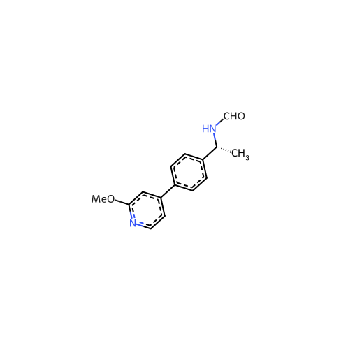 COc1cc(-c2ccc([C@@H](C)NC=O)cc2)ccn1